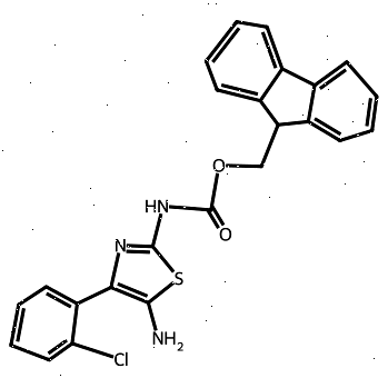 Nc1sc(NC(=O)OCC2c3ccccc3-c3ccccc32)nc1-c1ccccc1Cl